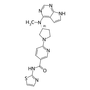 CN(c1ncnc2[nH]ccc12)[C@@H]1CCN(c2ccc(C(=O)Nc3nccs3)cn2)C1